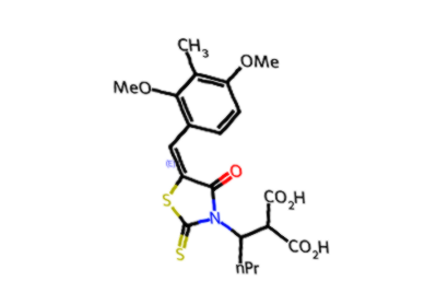 CCCC(C(C(=O)O)C(=O)O)N1C(=O)/C(=C\c2ccc(OC)c(C)c2OC)SC1=S